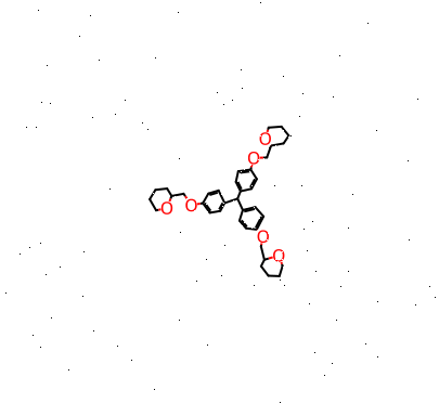 c1cc(C(c2ccc(OCC3CCCCO3)cc2)c2ccc(OCC3CCCCO3)cc2)ccc1OCC1CCCCO1